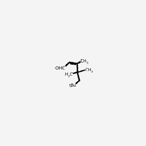 CC(=C[C]=O)C(C)(C)CC(C)(C)C